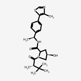 Cc1ncsc1-c1ccc([C@H](C)NC(=O)C2C[C@@H](O)CN2C(=O)[C@@H](C)C(C)(C)C)cc1